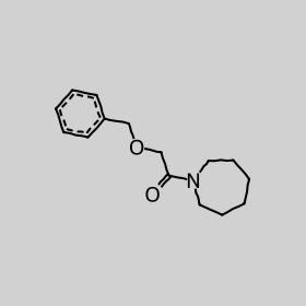 O=C(COCc1ccccc1)N1CCCCCC1